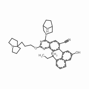 C=C(CC)c1cccc2cc(O)cc(-c3c(C#N)cc4c(N5CC6CCC(C5)N6)nc(OCCCC56CCCN5CCC6)nc4c3F)c12